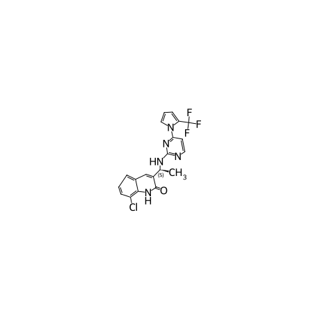 C[C@H](Nc1nccc(-n2cccc2C(F)(F)F)n1)c1cc2cccc(Cl)c2[nH]c1=O